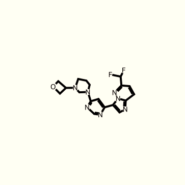 FC(F)c1ccc2ncc(-c3cc(N4CCCN(C5COC5)C4)ncn3)n2n1